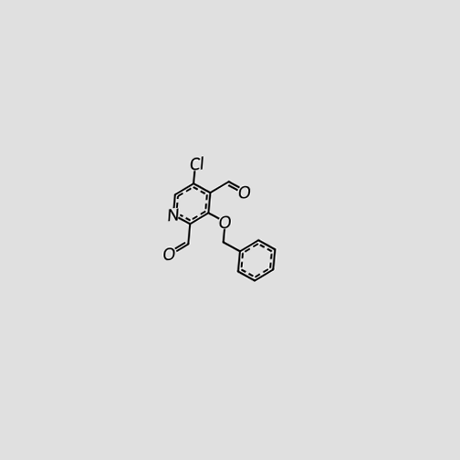 O=Cc1ncc(Cl)c(C=O)c1OCc1ccccc1